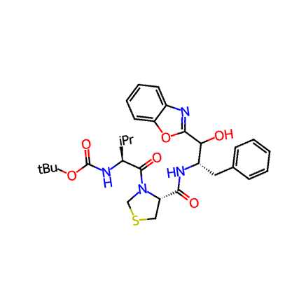 CC(C)[C@H](NC(=O)OC(C)(C)C)C(=O)N1CSC[C@H]1C(=O)N[C@@H](Cc1ccccc1)C(O)c1nc2ccccc2o1